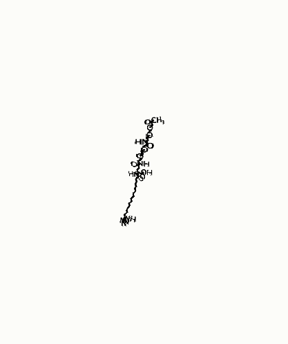 CC(=O)COCCOCCNC(=O)COCCOCCNC(=O)CC[C@H](NC(=O)CCCCCCCCCCCCCCCc1nnn[nH]1)C(=O)O